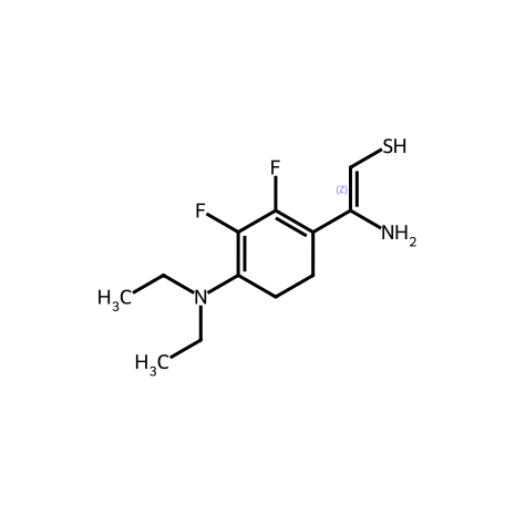 CCN(CC)C1=C(F)C(F)=C(/C(N)=C/S)CC1